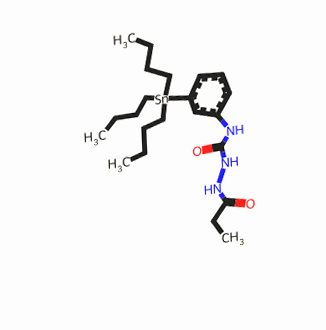 CCC[CH2][Sn]([CH2]CCC)([CH2]CCC)[c]1cccc(NC(=O)NNC(=O)CC)c1